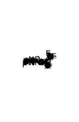 O=C(NC1CCN(C(COc2cc(F)cc(F)c2)c2ccccc2)CC1)c1cnc(-c2cccc(F)c2)nc1